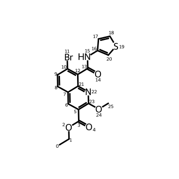 CCOC(=O)c1cc2ccc(Br)c(C(=O)Nc3ccsc3)c2nc1OC